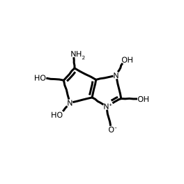 Nc1c(O)n(O)c2c1n(O)c(O)[n+]2[O-]